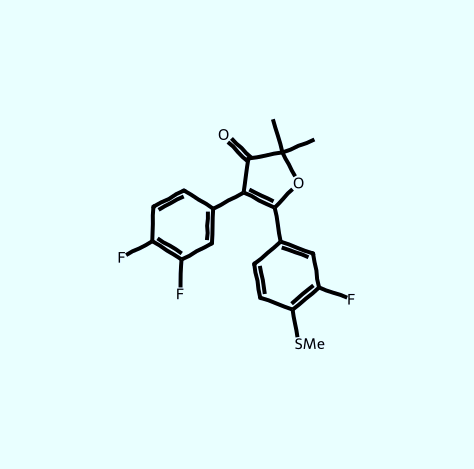 CSc1ccc(C2=C(c3ccc(F)c(F)c3)C(=O)C(C)(C)O2)cc1F